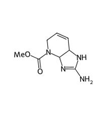 COC(=O)N1CC=CC2NC(N)=NC21